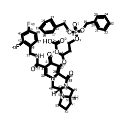 O=C(O)OC(CCOP(=O)(OCc1ccccc1)OCc1ccccc1)Oc1c2n(cc(C(=O)NCc3ccc(F)cc3F)c1=O)C[C@@H]1N(C[C@H]3CCCN31)C2=O